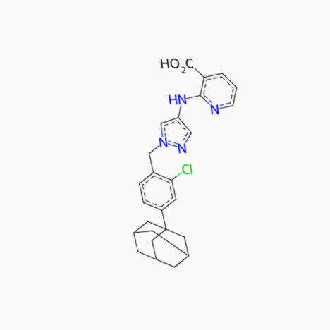 O=C(O)c1cccnc1Nc1cnn(Cc2ccc(C34CC5CC(CC(C5)C3)C4)cc2Cl)c1